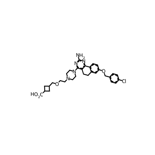 Nc1nc2c(c(N3CCN(CCOCC4CC(C(=O)O)C4)CC3)n1)CCc1cc(OCc3ccc(Cl)cc3)ccc1-2